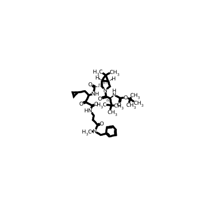 CN(Cc1ccccc1)C(=O)CCNC(=O)C(=O)C(CC1CC1)NC(=O)[C@@H]1[C@@H]2[C@H](CN1C(=O)[C@@H](NC(=O)OC(C)(C)C)C(C)(C)C)C2(C)C